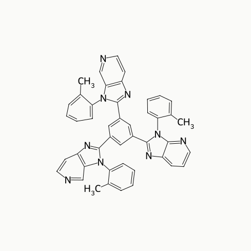 Cc1ccccc1-n1c(-c2cc(-c3nc4ccncc4n3-c3ccccc3C)cc(-c3nc4cccnc4n3-c3ccccc3C)c2)nc2ccncc21